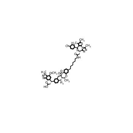 COc1cc([C@@H](CC(=O)O)c2ccc(C)c(CN3C[C@@H](C)Oc4cc(CCCCCCNC(=O)C[C@@H]5N=C(c6ccc(Cl)cc6)c6c(sc(C)c6C)-n6c(C)nnc65)ccc4S3(=O)=O)c2)cc2nnn(C)c12